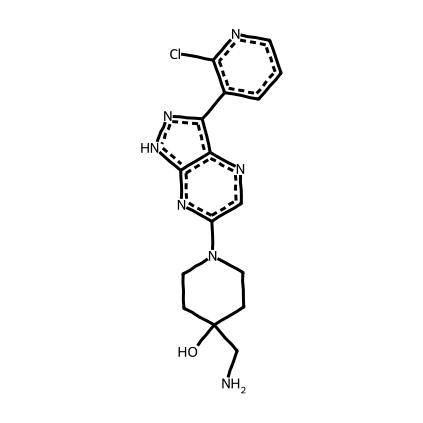 NCC1(O)CCN(c2cnc3c(-c4cccnc4Cl)n[nH]c3n2)CC1